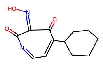 O=C1N=CC=C(C2CCCCC2)C(=O)/C1=N/O